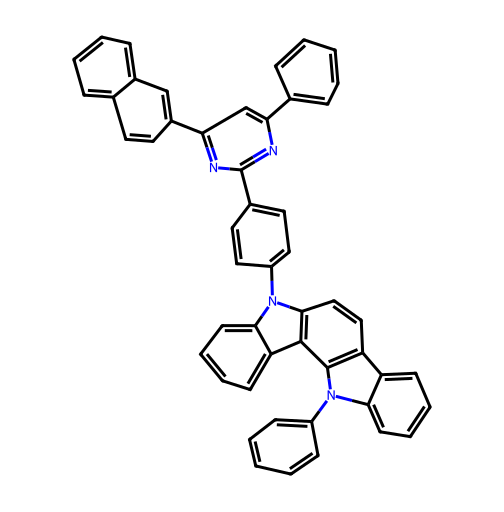 c1ccc(-c2cc(-c3ccc4ccccc4c3)nc(-c3ccc(-n4c5ccccc5c5c4ccc4c6ccccc6n(-c6ccccc6)c45)cc3)n2)cc1